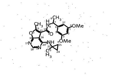 COc1cc(OC)cc(C(C)NC(=O)c2c(C)oc3ncnc(NC4(C)CC4)c23)c1